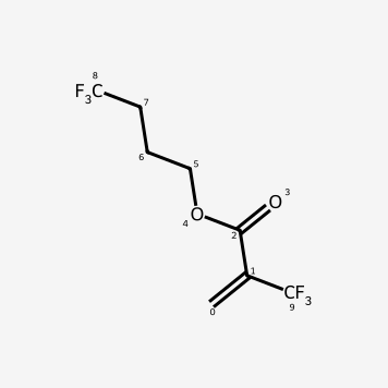 C=C(C(=O)OCCCC(F)(F)F)C(F)(F)F